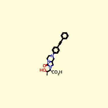 C[C@@H](O)[C@@H](C(=O)O)N1CC2CN(c3ccc(C#Cc4ccccc4)cc3)CCN2C1=O